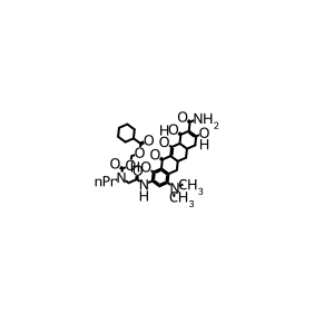 CCCN(CC(=O)Nc1cc(N(C)C)c2c(c1O)C(=O)C1=C(O)C3C(=O)C(C(N)=O)=C(O)CC3CC1C2)C(=O)OCOC(=O)C1CCCCC1